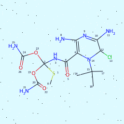 CSC(NC(=O)C1=C(N)N=C(N)C(Cl)N1C(C)(C)C)(OC(N)=O)OC(N)=O